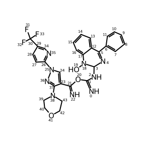 N=C(NC1N=C(c2ccccc2)c2ccccc2N1O)OC(=N)c1cn(-c2ccc(C(F)(F)F)cn2)nc1N1CCOCC1